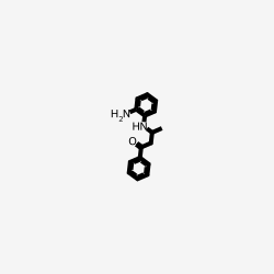 CC(CC(=O)c1ccccc1)Nc1ccccc1N